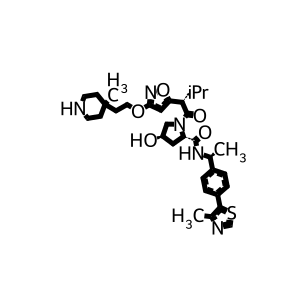 Cc1ncsc1-c1ccc([C@H](C)NC(=O)[C@@H]2C[C@@H](O)CN2C(=O)[C@H](c2cc(OCCC3(C)CCNCC3)no2)C(C)C)cc1